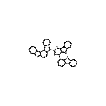 c1ccc2c(c1)sc1c(-c3nc(-n4c5ccccc5c5c6c(ccc54)sc4ccccc46)nc4c3sc3ccccc34)cccc12